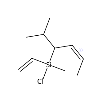 C=C[Si](C)(Cl)C(/C=C\C)C(C)C